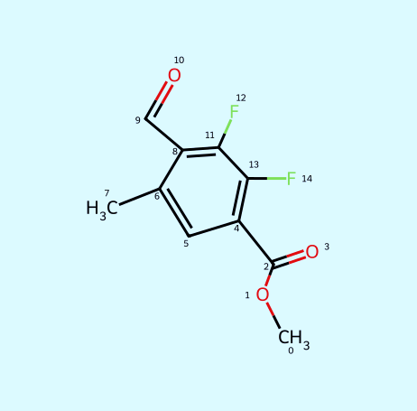 COC(=O)c1cc(C)c(C=O)c(F)c1F